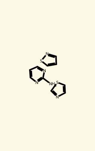 Nc1ncccn1.c1cnsc1.c1cscn1